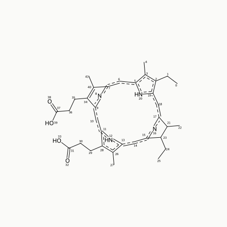 CCc1c(C)c2cc3nc(cc4[nH]c(cc5nc(cc1[nH]2)C(C)C5CC)c(C)c4CCC(=O)O)C(CCC(=O)O)=C3C